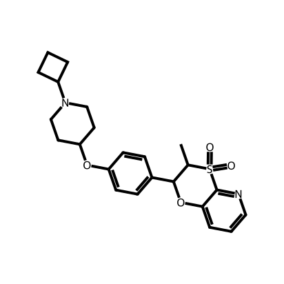 CC1C(c2ccc(OC3CCN(C4CCC4)CC3)cc2)Oc2cccnc2S1(=O)=O